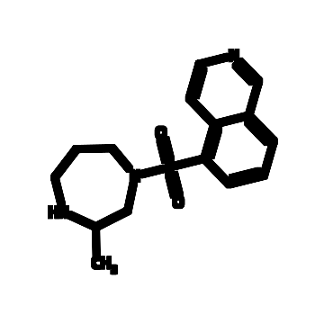 CC1CN(S(=O)(=O)c2cccc3cnccc23)CCCN1